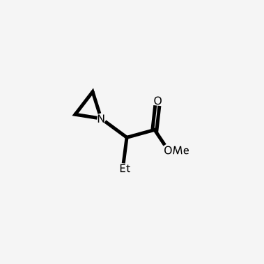 CCC(C(=O)OC)N1CC1